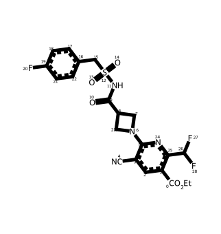 CCOC(=O)c1cc(C#N)c(N2CC(C(=O)NS(=O)(=O)Cc3ccc(F)cc3)C2)nc1C(F)F